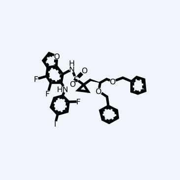 O=S(=O)(Nc1c(Nc2ccc(I)cc2F)c(F)c(F)c2ccoc12)C1(C[C@@H](COCc2ccccc2)OCc2ccccc2)CC1